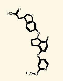 COc1cc(Oc2ccc(F)c3c2CC[C@H]3Oc2ccc3c(c2)OCC3CC(=O)O)ccn1